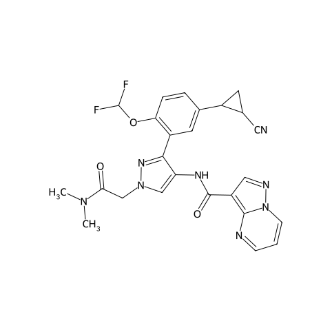 CN(C)C(=O)Cn1cc(NC(=O)c2cnn3cccnc23)c(-c2cc(C3CC3C#N)ccc2OC(F)F)n1